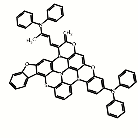 C=C1Oc2cc3c4c5c2B(/C1=C/C=C(\C)N(c1ccccc1)c1ccccc1)c1cc2oc6ccccc6c2c2c1N5c1c(cccc1B4c1ccc(N(c4ccccc4)c4ccccc4)cc1O3)S2